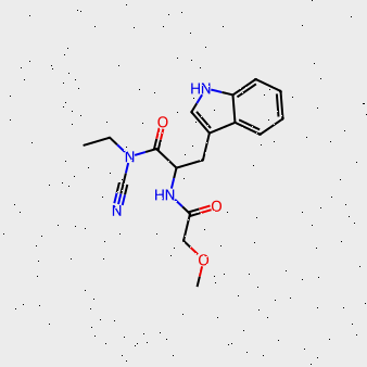 CCN(C#N)C(=O)C(Cc1c[nH]c2ccccc12)NC(=O)COC